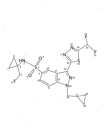 O=S(=O)(NC1(CF)CC1)c1ccc2c(c1)c(-c1nnc(C(F)F)s1)nn2CC1CC1